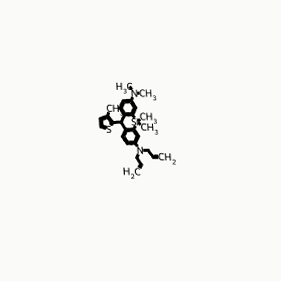 C=CCN(CC=C)c1ccc2c(c1)[Si](C)(C)c1cc(N(C)C)ccc1C2c1sccc1C